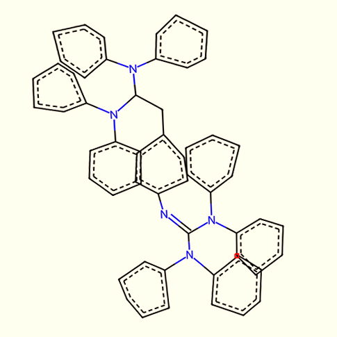 c1ccc(N(C(=Nc2ccc(CC(N(c3ccccc3)c3ccccc3)N(c3ccccc3)c3ccccc3)cc2)N(c2ccccc2)c2ccccc2)c2ccccc2)cc1